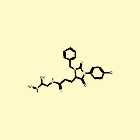 O=C(CCC1C(=O)N(c2ccc(Cl)cc2)C(=O)N1Cc1ccccc1)NCC(O)NO